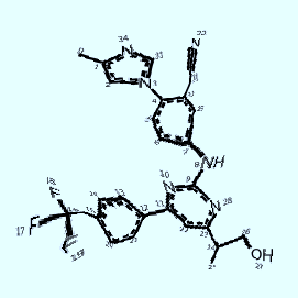 Cc1cn(-c2ccc(Nc3nc(-c4ccc(C(F)(F)F)cc4)cc(C(C)CO)n3)cc2C#N)cn1